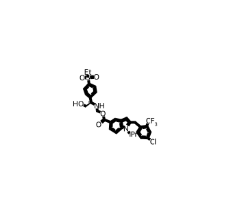 CCS(=O)(=O)c1ccc([C@H](CO)NCOC(=O)c2ccc3c(c2)cc(Cc2ccc(Cl)cc2C(F)(F)F)n3C(C)C)cc1